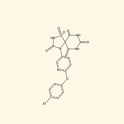 CCc1ccc(Oc2ccc(N3C(=O)NS(=O)(=O)C34C(=O)NC(=O)NC4=O)cn2)cc1